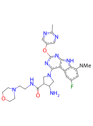 CNc1cc(F)cc2c1[nH]c1nc(Oc3cnc(C)nc3)nc(N3CC(N)C(C(=O)NCCN4CCOCC4)C3)c12